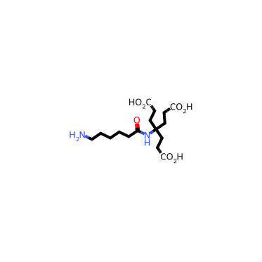 NCCCCCC(=O)NC(CCC(=O)O)(CCC(=O)O)CCC(=O)O